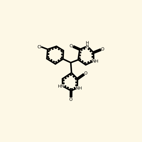 O=c1[nH]cc(C(c2ccc(Cl)cc2)c2c[nH]c(=O)[nH]c2=O)c(=O)[nH]1